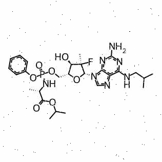 CC(C)CNc1nc(N)nc2c1ncn2[C@@H]1O[C@H](CO[P@](=O)(N[C@@H](C)C(=O)OC(C)C)Oc2ccccc2)[C@@H](O)[C@@]1(C)F